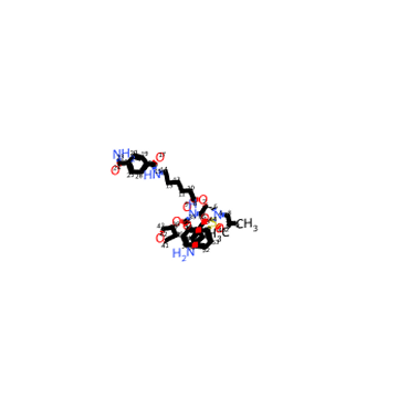 CC(C)CN(C[C@@H](OC(=O)CCCCCNC(=O)c1ccc(C(N)=O)cc1)[C@H](Cc1ccccc1)NC(=O)O[C@H]1CCOC1)S(=O)(=O)c1ccc(N)cc1